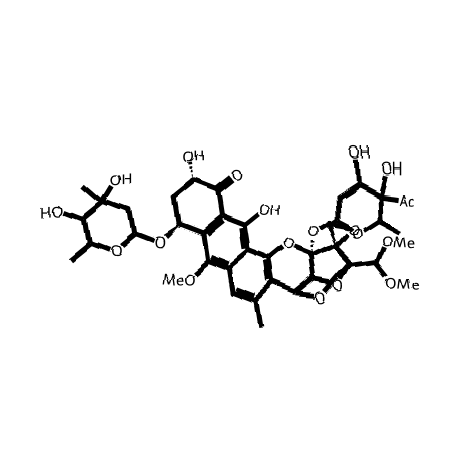 COc1c2c(c(O)c3c4c(c(C)cc13)C1OC3(C(OC)OC)OC1[C@@](OC1CC(O)C(O)(C(C)=O)C(C)O1)(O4)[C@@]31CO1)C(=O)[C@@H](O)C[C@@H]2OC1CC(C)(O)C(O)C(C)O1